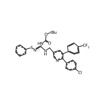 CC(C)(C)OC(=O)N/C(=N\Sc1ccccc1)NCc1cnc(-c2ccc(Cl)cc2)c(C2=C=C=C(C(F)(F)F)C=C2)c1